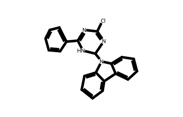 ClC1=NC(n2c3ccccc3c3ccccc32)NC(c2ccccc2)=N1